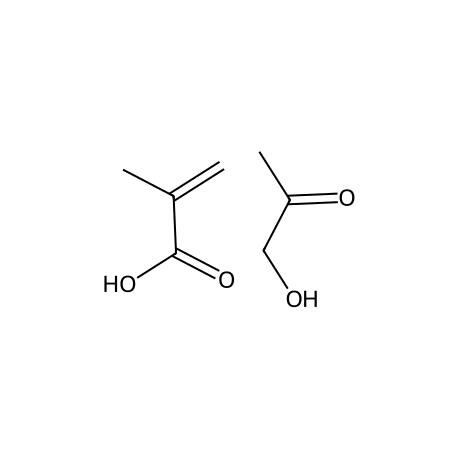 C=C(C)C(=O)O.CC(=O)CO